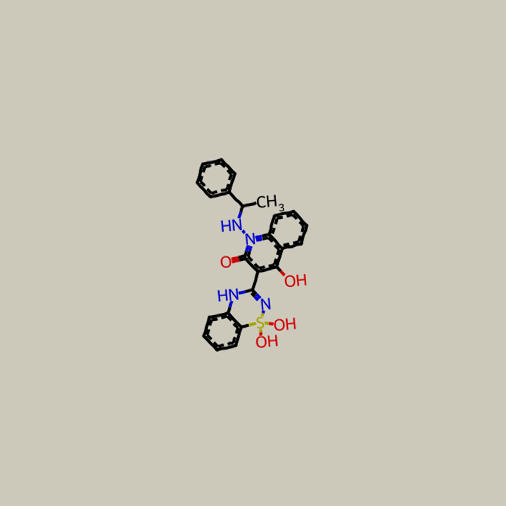 CC(Nn1c(=O)c(C2=NS(O)(O)c3ccccc3N2)c(O)c2ccccc21)c1ccccc1